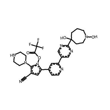 N#Cc1cc(-c2ccnc(-c3cnc(C4(O)CCCN(O)CC4)nc3)c2)n(OC(=O)C(F)(F)F)c1N1CCNCC1